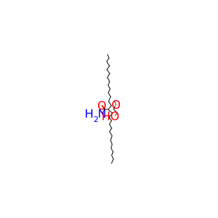 CCCCCCCCCCCCCCC(CCCCCCCCCCCCCC)C(N)=O.COCCO